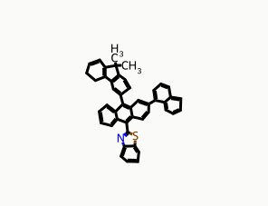 CC1(C)C2=C(CCC=C2)c2cc(-c3c4ccccc4c(-c4nc5ccccc5s4)c4ccc(-c5cccc6ccccc56)cc34)ccc21